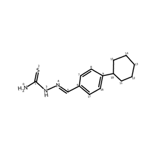 NC(=S)NN=Cc1ccc(C2CCCCC2)cc1